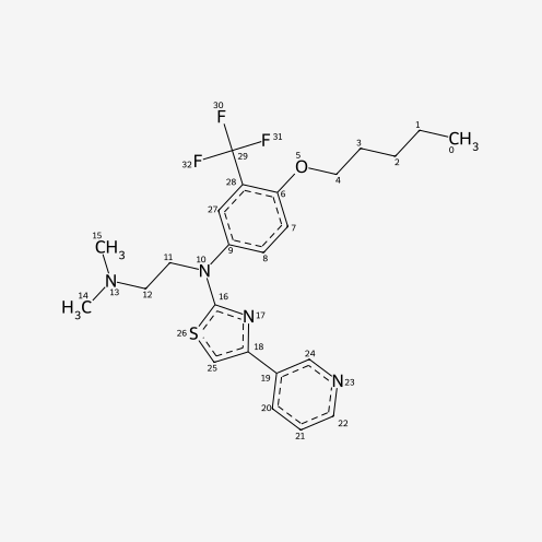 CCCCCOc1ccc(N(CCN(C)C)c2nc(-c3cccnc3)cs2)cc1C(F)(F)F